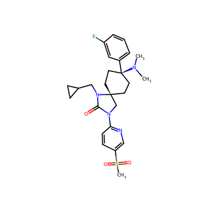 CN(C)[C@]1(c2cccc(F)c2)CC[C@@]2(CC1)CN(c1ccc(S(C)(=O)=O)cn1)C(=O)N2CC1CC1